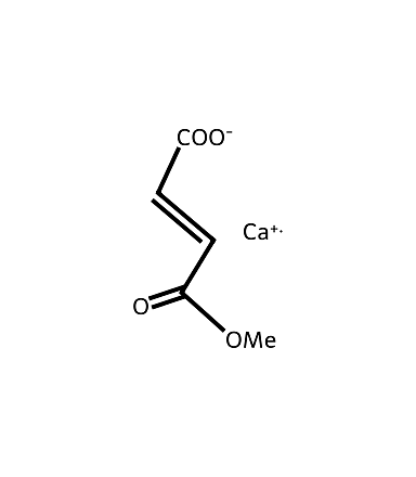 COC(=O)C=CC(=O)[O-].[Ca+]